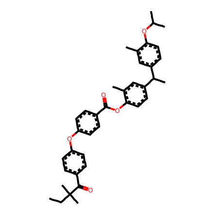 CCC(C)(C)C(=O)c1ccc(Oc2ccc(C(=O)Oc3ccc(C(C)c4ccc(OC(C)C)c(C)c4)cc3C)cc2)cc1